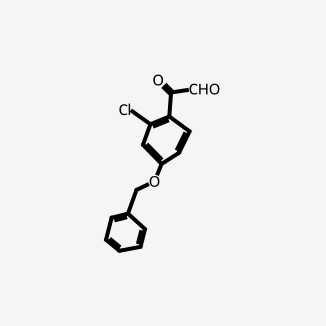 O=CC(=O)c1ccc(OCc2ccccc2)cc1Cl